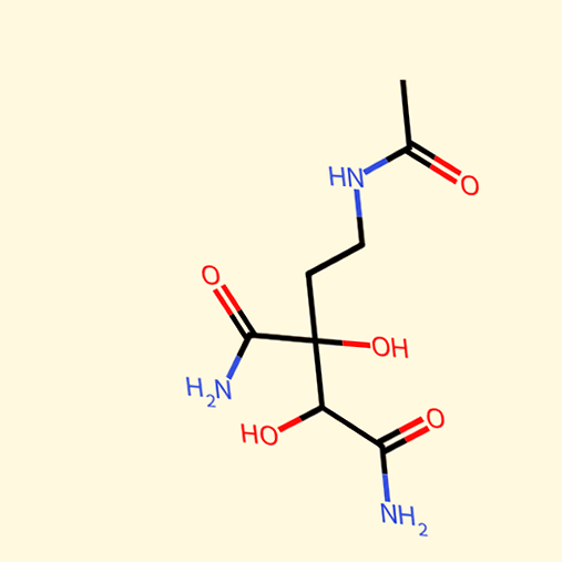 CC(=O)NCCC(O)(C(N)=O)C(O)C(N)=O